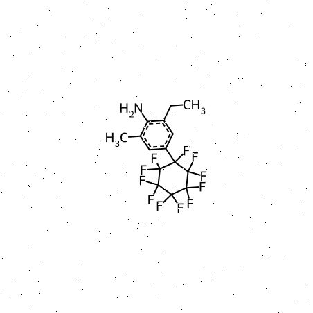 CCc1cc(C2(F)C(F)(F)C(F)(F)C(F)(F)C(F)(F)C2(F)F)cc(C)c1N